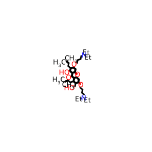 CCN(CC)CCCCOc1cc2oc3cc(OCCCCN(CC)CC)c(CO)c(CC=C(C)C)c3c(=O)c2c(O)c1CC=C(C)C